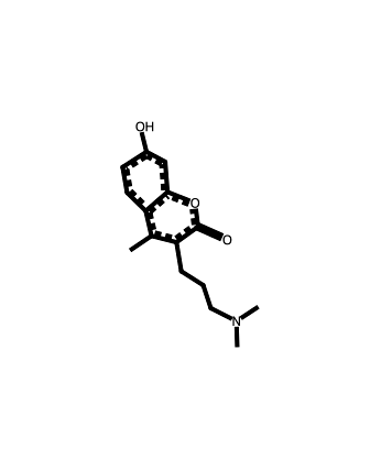 Cc1c(CCCN(C)C)c(=O)oc2cc(O)ccc12